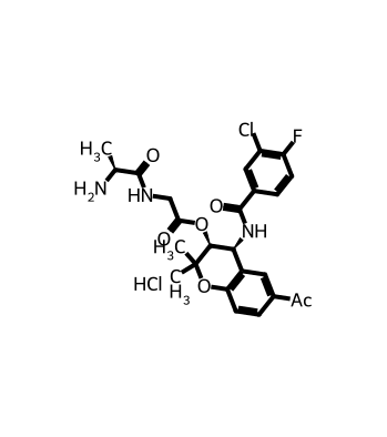 CC(=O)c1ccc2c(c1)[C@H](NC(=O)c1ccc(F)c(Cl)c1)[C@H](OC(=O)CNC(=O)[C@H](C)N)C(C)(C)O2.Cl